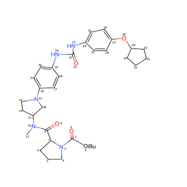 CC(C)COC(=O)N1CCCC1C(=O)N(C)C1CCN(c2ccc(NC(=O)Nc3ccc(OC4CCCC4)cc3)cc2)C1